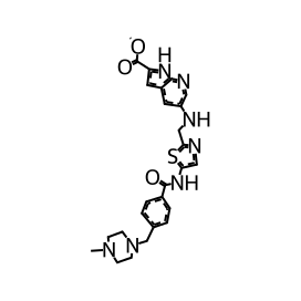 COC(=O)c1cc2cc(NCc3ncc(NC(=O)c4ccc(CN5CCN(C)CC5)cc4)s3)cnc2[nH]1